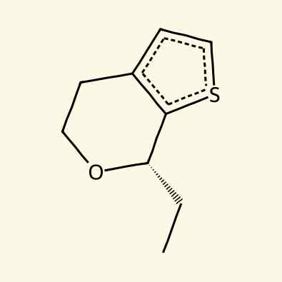 CC[C@@H]1OCCc2ccsc21